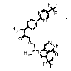 CC(COCC(=O)N(C)C1CCN(c2ncc(C(F)(F)F)cn2)CC1)n1nc(C(F)(F)F)c2c(=O)[nH]ncc21